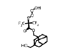 O=C(OCC12CC3CC(CC(CO)(C3)C1)C2)C(SOOO)(C(F)(F)F)C(F)(F)F